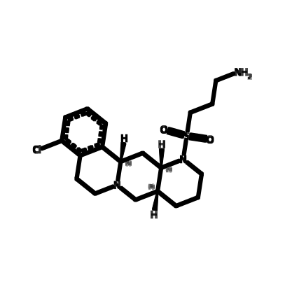 NCCCS(=O)(=O)N1CCC[C@@H]2CN3CCc4c(Cl)cccc4[C@@H]3C[C@@H]21